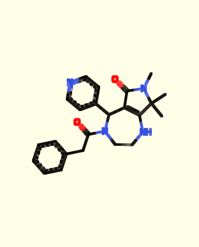 CN1C(=O)C2=C(NCCN(C(=O)Cc3ccccc3)C2c2ccncc2)C1(C)C